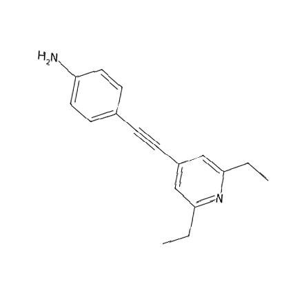 CCc1cc(C#Cc2ccc(N)cc2)cc(CC)n1